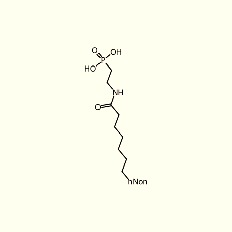 CCCCCCCCCCCCCCCC(=O)NCCP(=O)(O)O